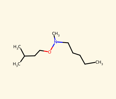 CCCCCN(C)OCCC(C)C